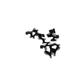 Clc1ccc(NCCCCc2c(Cl)ccc3ccccc23)cc1.O=C(O)C(=O)O